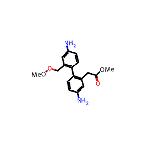 COOCc1cc(N)ccc1-c1ccc(N)cc1CC(=O)OC